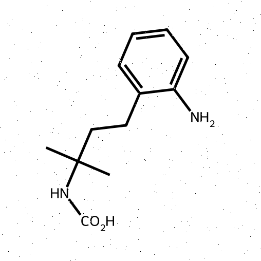 CC(C)(CCc1ccccc1N)NC(=O)O